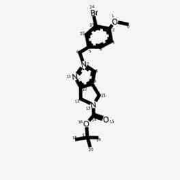 COc1ccc(Cn2cc3c(n2)CN(C(=O)OC(C)(C)C)C3)cc1Br